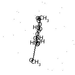 CC(=O)CCCCCCCCCCCCCCC(=O)NC(CCC(=O)NCCOCCOCC(=O)NCCOCCC(=O)CC(C)=C=O)C(=O)O